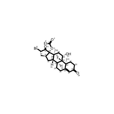 CCC(=O)O[C@@]1(C(=O)CBr)[C@H](C)C[C@H]2[C@@H]3CCC4=CC(=O)CC[C@]4(C)[C@@]3(F)[C@@H](O)C[C@@]21C